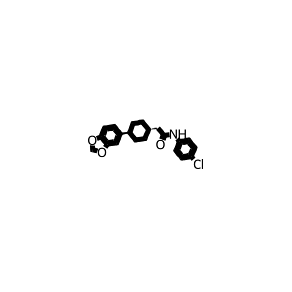 O=C(C[C@H]1CC[C@H](c2ccc3c(c2)OCO3)CC1)Nc1ccc(Cl)cc1